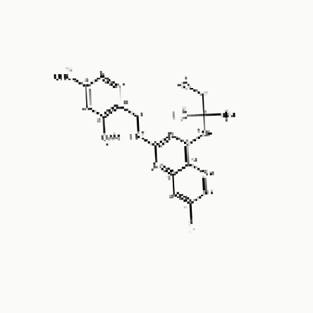 CCCCC(C)(CO)Nc1nc(NCc2ccc(C=O)cc2OC)nc2cc(F)cnc12